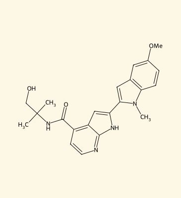 COc1ccc2c(c1)cc(-c1cc3c(C(=O)NC(C)(C)CO)ccnc3[nH]1)n2C